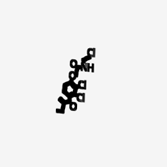 C=C(CC)C(=O)c1ccc(OCC(=O)NCCCl)c(Cl)c1Cl